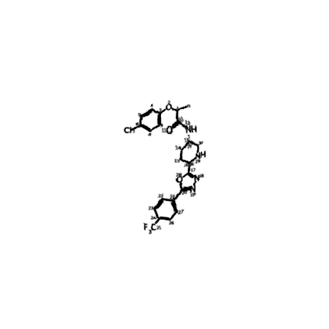 CC(Oc1ccc(Cl)cc1)C(=O)N[C@H]1CC[C@H](c2nnc(-c3ccc(C(F)(F)F)cc3)o2)NC1